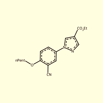 CCCCCOc1ccc(-n2cc(C(=O)OCC)cn2)cc1C#N